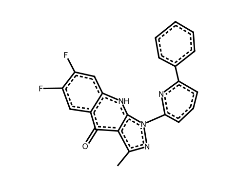 Cc1nn(-c2cccc(-c3ccccc3)n2)c2[nH]c3cc(F)c(F)cc3c(=O)c12